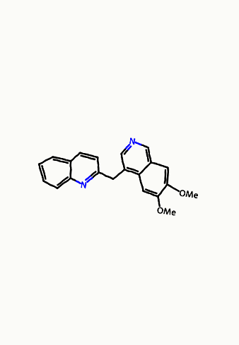 COc1cc2cncc(Cc3ccc4ccccc4n3)c2cc1OC